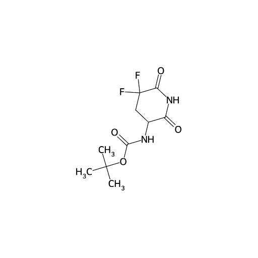 CC(C)(C)OC(=O)NC1CC(F)(F)C(=O)NC1=O